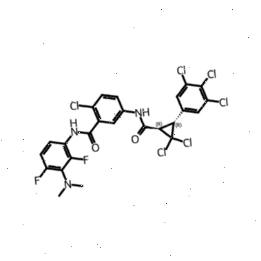 CN(C)c1c(F)ccc(NC(=O)c2cc(NC(=O)[C@H]3[C@H](c4cc(Cl)c(Cl)c(Cl)c4)C3(Cl)Cl)ccc2Cl)c1F